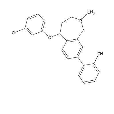 CN1CCC(Oc2cccc(Cl)c2)c2ccc(-c3ccccc3C#N)cc2C1